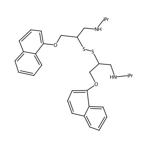 CC(C)NCC(COc1cccc2ccccc12)SSC(CNC(C)C)COc1cccc2ccccc12